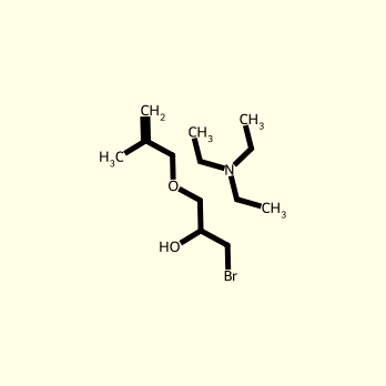 C=C(C)COCC(O)CBr.CCN(CC)CC